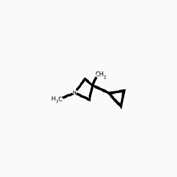 CN1CC(C)(C2CC2)C1